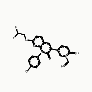 N=Cn1cc(-c2cc3ccc(OCC(F)F)nc3n(-c3ccc(Cl)cc3)c2=O)ccc1=N